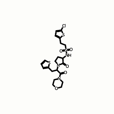 O=C(C(Cc1cccs1)N1CCC(NS(=O)(=O)CCc2ccc(Cl)s2)C1=O)N1CCOCC1